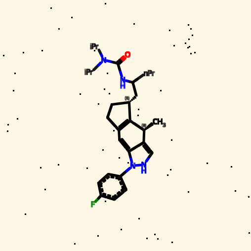 CCCC(C[C@H]1CCC2=C1[C@@H](C)C1=CNN(c3ccc(F)cc3)C1=C2)NC(=O)N(C(C)C)C(C)C